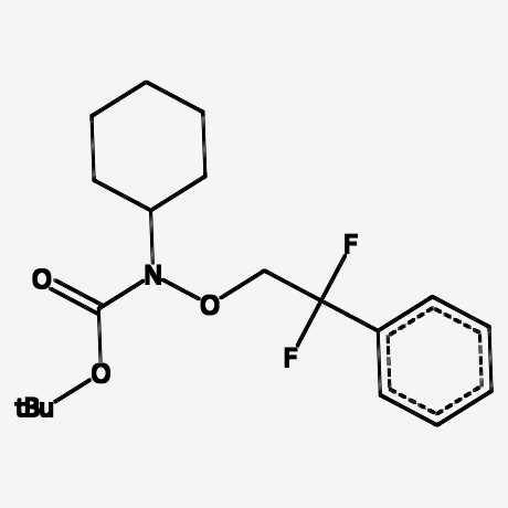 CC(C)(C)OC(=O)N(OCC(F)(F)c1ccccc1)C1CCCCC1